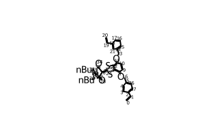 C=Cc1ccc(COc2ccc(OCc3cccc(C=C)c3)c3c2SC(=C2C(=O)N(CCCC)N(CCCC)C2=O)S3)cc1